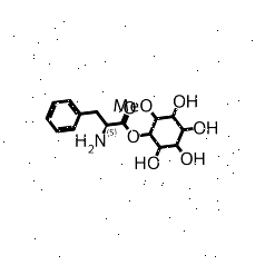 COC1C(O)C(O)C(O)C(O)C1OC(=O)[C@@H](N)Cc1ccccc1